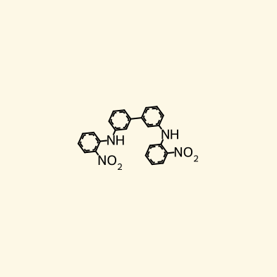 O=[N+]([O-])c1ccccc1Nc1cccc(-c2cccc(Nc3ccccc3[N+](=O)[O-])c2)c1